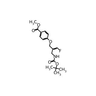 COC(=O)c1ccc(OCC(=CF)CNC(=O)OC(C)(C)C)cc1